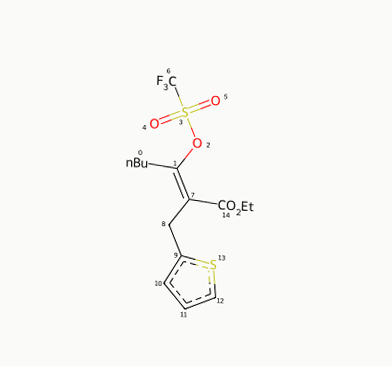 CCCC/C(OS(=O)(=O)C(F)(F)F)=C(\Cc1cccs1)C(=O)OCC